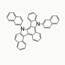 c1ccc2cc(-n3c4ccccc4c4c3c3ccccc3c3c5c6ccccc6ccc5n(-c5ccc6ccccc6c5)c34)ccc2c1